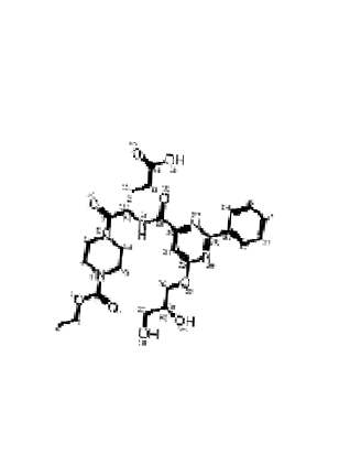 CCOC(=O)N1CCN(C(=O)[C@H](CCC(=O)O)NC(=O)c2cc(OC[C@@H](O)CO)nc(-c3ccccc3)n2)CC1